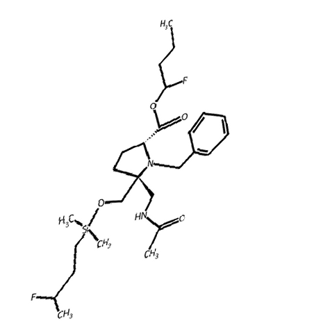 CCCC(F)OC(=O)[C@H]1CC[C@@](CNC(C)=O)(CO[Si](C)(C)CCC(C)F)N1Cc1ccccc1